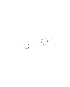 CC(=O)N[C@@H](C)c1ccc(C2CN(c3ccc(OCC4CC4)cc3)C2)cc1